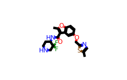 Cc1cnc(COc2ccc3oc(C)c(C(=O)NC4CCNCC4(F)F)c3c2)s1